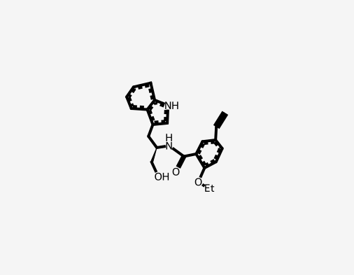 C#Cc1ccc(OCC)c(C(=O)N[C@@H](CO)Cc2c[nH]c3ccccc23)c1